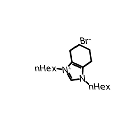 CCCCCCn1c[n+](CCCCCC)c2c1CCCC2.[Br-]